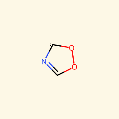 [C]1N=COO1